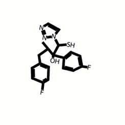 CC(Cc1ccc(F)cc1)C(O)(c1ccc(F)cc1)C(S)n1ccnn1